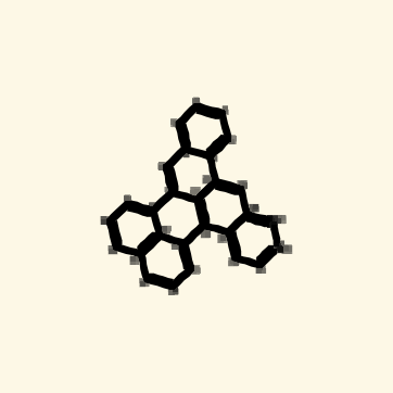 c1ccc2c(c1)cc1c3cccc4cccc(c43)c3c4ccnnc4cc2c13